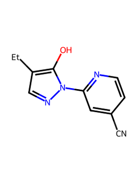 CCc1cnn(-c2cc(C#N)ccn2)c1O